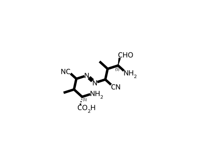 CC(C(C#N)N=NC(C#N)C(C)[C@H](N)C(=O)O)[C@H](N)C=O